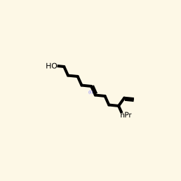 C=CC(CCC)CC/C=C/CCCCO